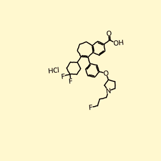 Cl.O=C(O)c1ccc2c(c1)CCCC(C1CCC(F)(F)CC1)=C2c1cccc(OC2CCN(CCCF)C2)c1